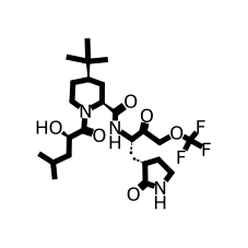 CC(C)C[C@@H](O)C(=O)N1CC[C@@H](C(C)(C)C)C[C@H]1C(=O)N[C@@H](C[C@@H]1CCNC1=O)C(=O)COC(F)(F)F